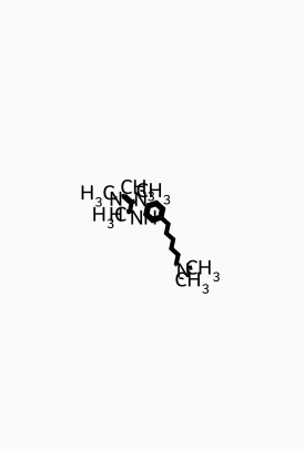 CN/C(C)=C(\C(C)=N)N(C)c1ccc(CCCCCCN(C)C)cc1